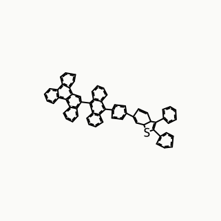 C1=CC2C(c3ccccc3)=C(c3ccccc3)SC2C=C1c1ccc(-c2c3ccccc3c(-c3cc4c5ccccc5c5ccccc5c4c4ccccc34)c3ccccc23)cc1